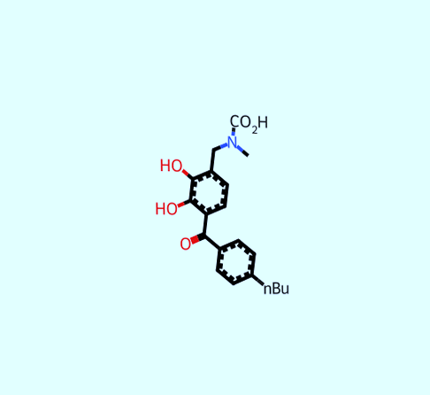 CCCCc1ccc(C(=O)c2ccc(CN(C)C(=O)O)c(O)c2O)cc1